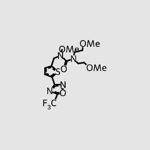 COCCN(CCOC)C(=O)N(Cc1ccc(-c2noc(C(F)(F)F)n2)s1)OC